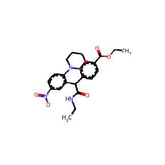 CCNC(=O)C(c1ccc(C(=O)OCC)cc1)c1cc([N+](=O)[O-])ccc1N1CCCCC1